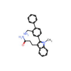 Cn1c(-c2ccc(-c3ccccc3)c(CN)c2)c(CCC(N)=O)c2ccccc21